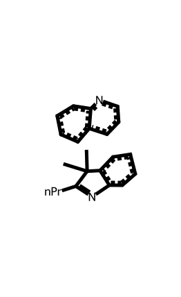 CCCC1=Nc2ccccc2C1(C)C.c1ccc2ncccc2c1